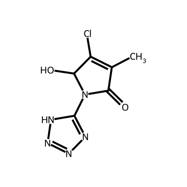 CC1=C(Cl)C(O)N(c2nnn[nH]2)C1=O